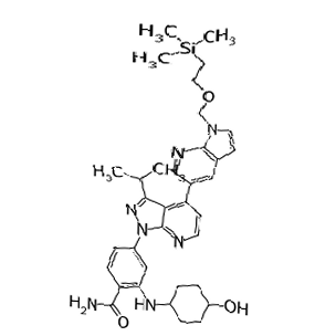 CC(C)c1nn(-c2ccc(C(N)=O)c(NC3CCC(O)CC3)c2)c2nccc(-c3cnc4c(ccn4COCC[Si](C)(C)C)c3)c12